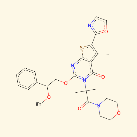 Cc1c(-c2ncco2)sc2nc(OCC(OC(C)C)c3ccccc3)n(C(C)(C)C(=O)N3CCOCC3)c(=O)c12